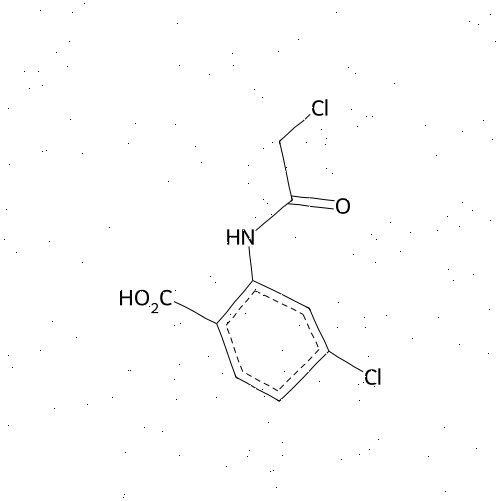 O=C(CCl)Nc1cc(Cl)ccc1C(=O)O